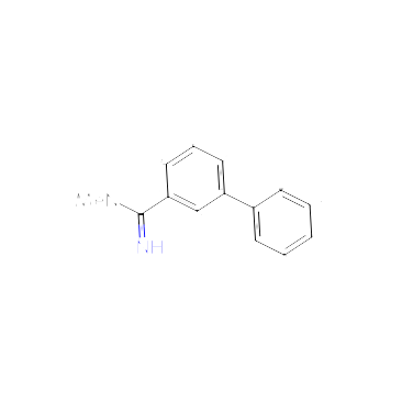 CNC(=N)c1cccc(-c2ccccc2)c1